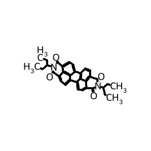 CCC(CC)N1C(=O)c2ccc3c4ccc5c6c(ccc(c7ccc(c2c37)C1=O)c64)C(=O)N(C(CC)CC)C5=O